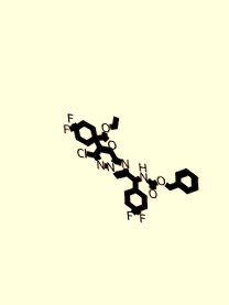 CCOC(=O)C1(c2cc3nc(C(NC(=O)OCc4ccccc4)C4CCC(F)(F)CC4)cn3nc2Cl)CCC(F)(F)CC1